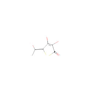 CC(O)C1SC(=O)C(O)=C1O